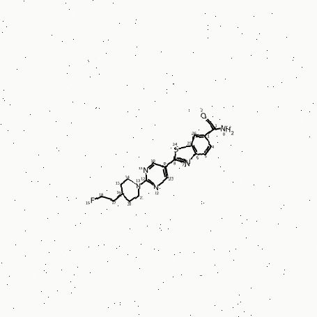 NC(=O)c1ccc2nc(-c3cnc(N4CCC(CCF)CC4)nc3)sc2c1